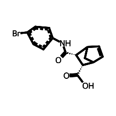 O=C(Nc1ccc(Br)cc1)[C@@H]1C2C=CC(C2)[C@@H]1C(=O)O